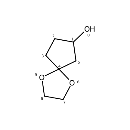 OC1CCC2(C1)OCCO2